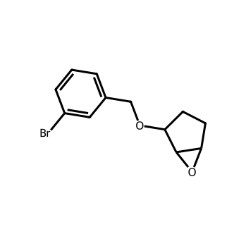 Brc1cccc(COC2CCC3OC23)c1